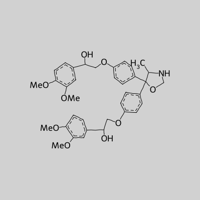 COc1ccc(C(O)COc2ccc(C3(c4ccc(OCC(O)c5ccc(OC)c(OC)c5)cc4)OCNC3C)cc2)cc1OC